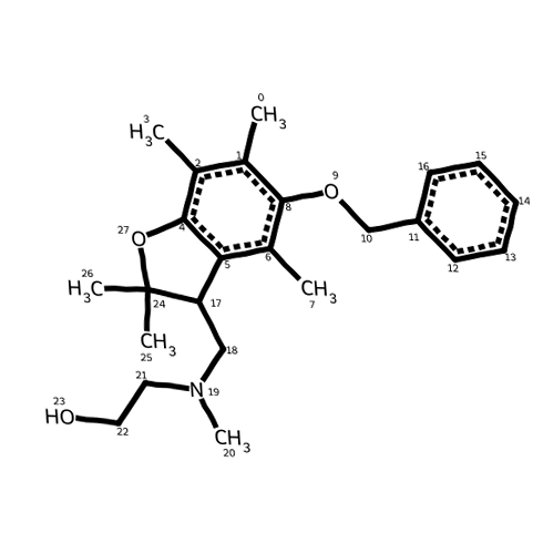 Cc1c(C)c2c(c(C)c1OCc1ccccc1)C(CN(C)CCO)C(C)(C)O2